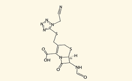 N#CCn1nnnc1SCC1=C(C(=O)O)N2C(=O)C(NC=O)[C@@H]2SC1